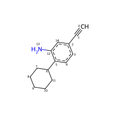 C#Cc1ccc(C2CCCCC2)c(N)c1